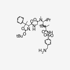 C/C(=C\[C@H](C(C)C)N(C)C(=O)[C@@H](NC(=O)[C@@H](N(C)C(=O)OC(C)(C)C)C(C)(C)c1ccccc1)C(C)(C)C)C(=O)NS(=O)(=O)c1ccc(CN)cc1